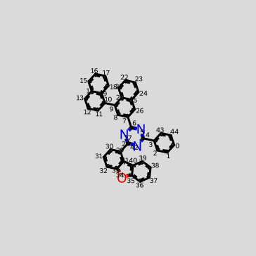 c1ccc(-c2nc(-c3cc(-c4cccc5ccccc45)c4ccccc4c3)nc(-c3cccc4oc5ccccc5c34)n2)cc1